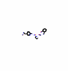 CCC[C@@H](C(=O)N1C[C@H](O)C[C@H]1C(=O)NCc1ccc(-c2scnc2C)cc1)N1Cc2ccccc2C1=O